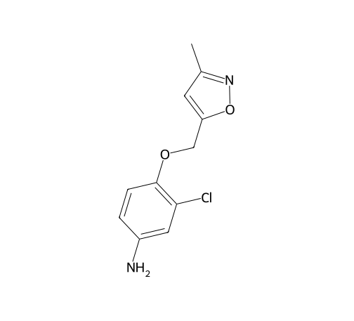 Cc1cc(COc2ccc(N)cc2Cl)on1